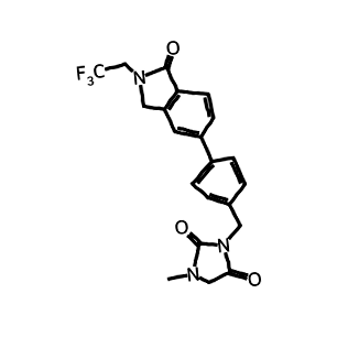 CN1CC(=O)N(Cc2ccc(-c3ccc4c(c3)CN(CC(F)(F)F)C4=O)cc2)C1=O